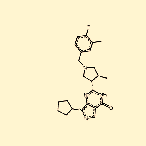 Cc1cc(CN2C[C@@H](C)[C@H](c3nc4c(cnn4C4CCCC4)c(=O)[nH]3)C2)ccc1F